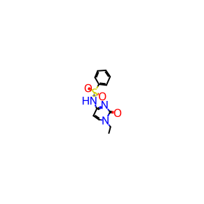 CCn1ccc(NS(=O)(=O)c2ccccc2)nc1=O